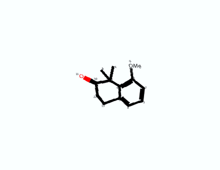 COc1cccc2c1C(C)(C)C(=O)CC2